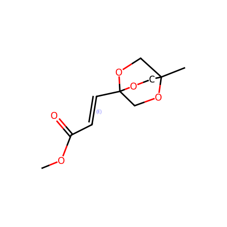 COC(=O)/C=C/C12COC(C)(CO1)CO2